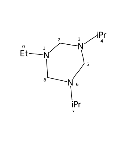 CCN1CN(C(C)C)CN(C(C)C)C1